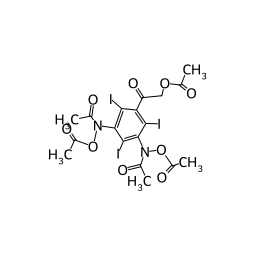 CC(=O)OCC(=O)c1c(I)c(N(OC(C)=O)C(C)=O)c(I)c(N(OC(C)=O)C(C)=O)c1I